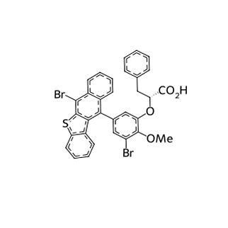 COc1c(Br)cc(-c2c3ccccc3c(Br)c3sc4ccccc4c23)cc1O[C@H](Cc1ccccc1)C(=O)O